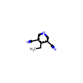 CCc1c(C#N)cncc1C#N